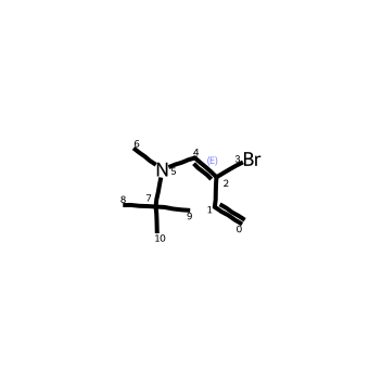 C=C/C(Br)=C\N(C)C(C)(C)C